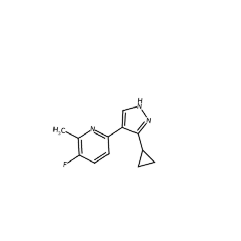 Cc1nc(-c2c[nH]nc2C2CC2)ccc1F